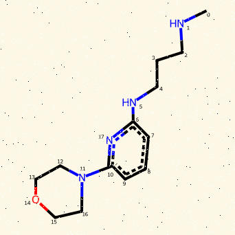 CNCCCNc1c[c]cc(N2CCOCC2)n1